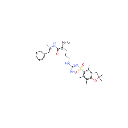 CC(=O)N[C@@H](CCCN/C(N)=N/S(=O)(=O)c1c(C)c(C)c2c(c1C)CC(C)(C)O2)C(=O)N[C@@H](C)Cc1ccccc1